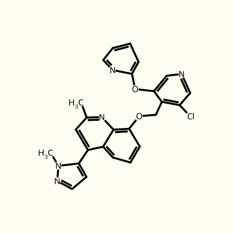 Cc1cc(-c2ccnn2C)c2cccc(OCc3c(Cl)cncc3Oc3ccccn3)c2n1